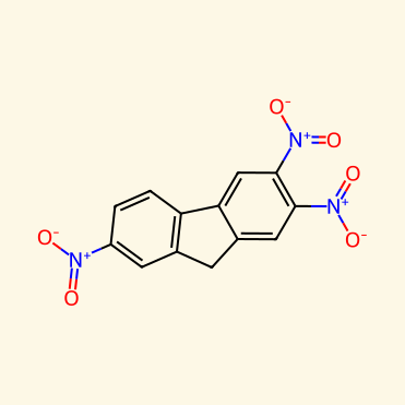 O=[N+]([O-])c1ccc2c(c1)Cc1cc([N+](=O)[O-])c([N+](=O)[O-])cc1-2